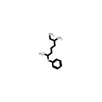 CCC(C)CCC[C](C)Sc1ccccc1